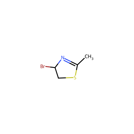 CC1=NC(Br)CS1